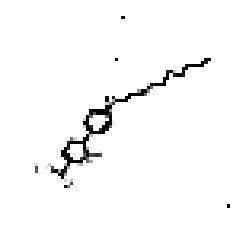 CCCCCCCCCCOc1ccc(C2=CC=C(C(=O)O)C[C@@H]2C)cc1